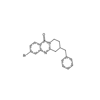 O=c1c2ccc(Br)cc2nc2n1CCC(Cc1ccccc1)C2